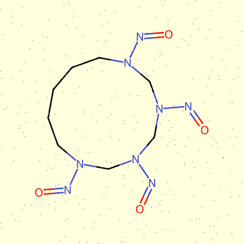 O=NN1CCCCCN(N=O)CN(N=O)CN(N=O)C1